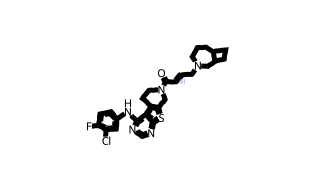 O=C(/C=C/CN1CCCC2CCC2C1)N1CCc2c(sc3ncnc(Nc4ccc(F)c(Cl)c4)c23)C1